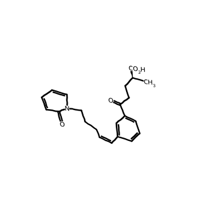 C[C@@H](CCC(=O)c1cccc(/C=C\CCCn2ccccc2=O)c1)C(=O)O